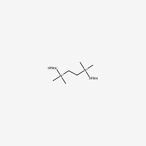 CCCCCC[N+](C)(C)CC[N+](C)(C)CCCCCC